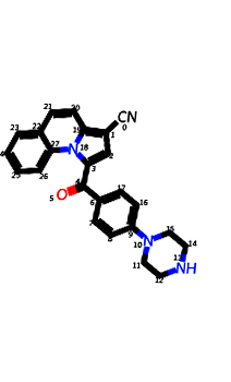 N#Cc1cc(C(=O)c2ccc(N3CCNCC3)cc2)n2c1ccc1ccccc12